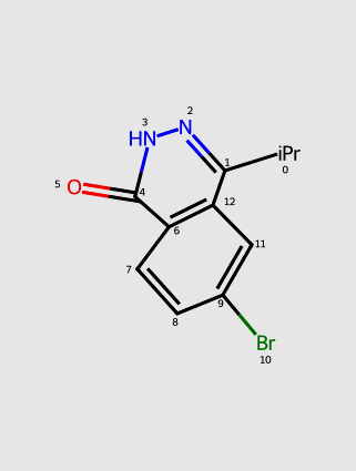 CC(C)c1n[nH]c(=O)c2ccc(Br)cc12